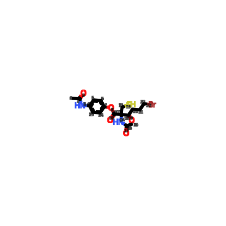 CC(=O)Nc1ccc(OC(=O)C(CS)(NC(C)=O)C(=O)CCCBr)cc1